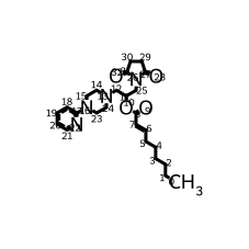 CCCCCC/C=C/C(=O)OC(CN1CCN(c2ccccn2)CC1)CN1C(=O)CCC1=O